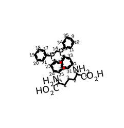 NC(CCCC(N)C(=O)O)C(=O)O.c1ccc(P(CP(c2ccccc2)c2ccccc2)c2ccccc2)cc1